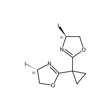 I[C@H]1COC(C2(C3=N[C@@H](I)CO3)CC2)=N1